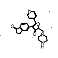 O=C1CCc2cc(C3=C(c4ccncc4)OC(CN4CCNCC4)C3=O)ccc21